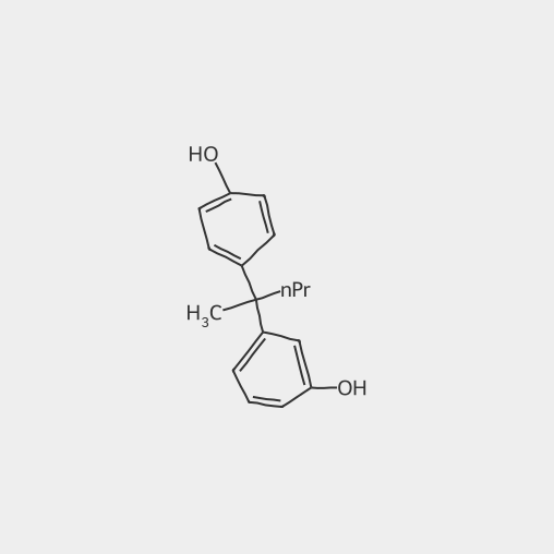 CCCC(C)(c1ccc(O)cc1)c1cccc(O)c1